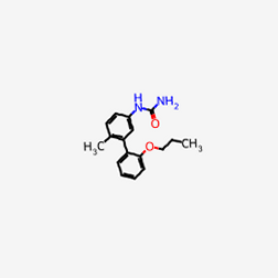 CCCOc1ccccc1-c1cc(NC(N)=O)ccc1C